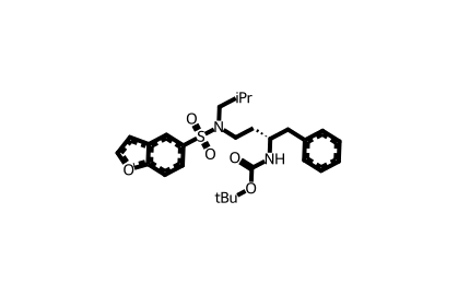 CC(C)CN(CC[C@H](Cc1ccccc1)NC(=O)OC(C)(C)C)S(=O)(=O)c1ccc2occc2c1